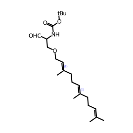 CC(C)=CCC/C(C)=C/CC/C(C)=C/COCC(C=O)NC(=O)OC(C)(C)C